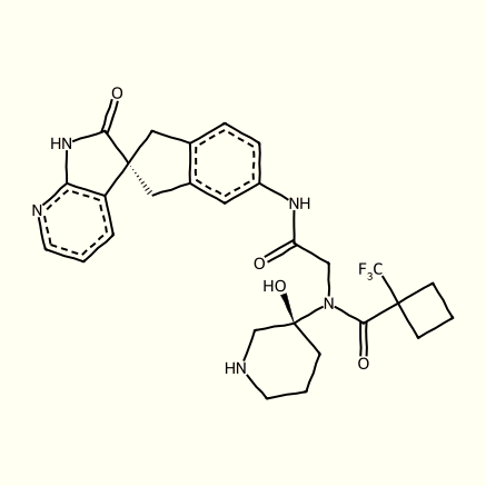 O=C(CN(C(=O)C1(C(F)(F)F)CCC1)[C@]1(O)CCCNC1)Nc1ccc2c(c1)C[C@@]1(C2)C(=O)Nc2ncccc21